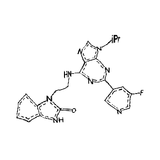 CC(C)n1cnc2c(NCCn3c(=O)[nH]c4ccccc43)nc(-c3cncc(F)c3)nc21